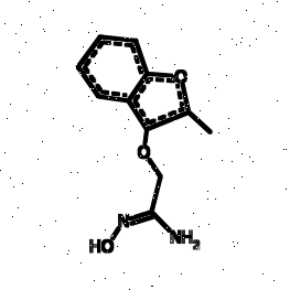 Cc1oc2ccccc2c1OCC(N)=NO